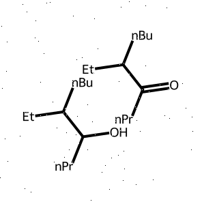 CCCCC(CC)C(=O)CCC.CCCCC(CC)C(O)CCC